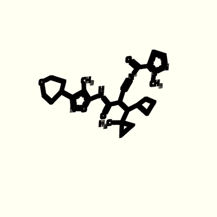 Cc1c(C2CCOCC2)noc1NC(=O)C(C#[N+]C(=O)c1ccnn1C)C(C1CCC1)C1(C)CC1